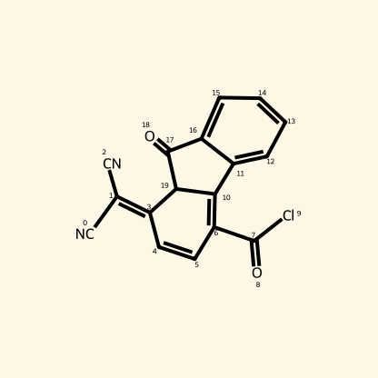 N#CC(C#N)=C1C=CC(C(=O)Cl)=C2c3ccccc3C(=O)C12